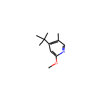 COc1cc(C(C)(C)C)c(C)cn1